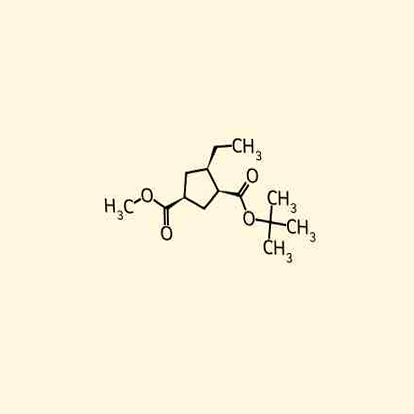 CC[C@@H]1C[C@H](C(=O)OC)C[C@@H]1C(=O)OC(C)(C)C